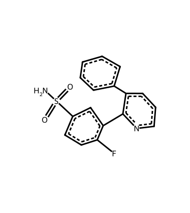 NS(=O)(=O)c1ccc(F)c(-c2ncccc2-c2ccccc2)c1